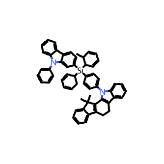 CC1C=CC=CC1[Si](c1ccc(-n2c3c(c4ccccc42)CCC2=C3C(C)(C)c3ccccc32)cc1)(c1ccc2c3ccccc3n(-c3ccccc3)c2c1)C1C=CC=CC1